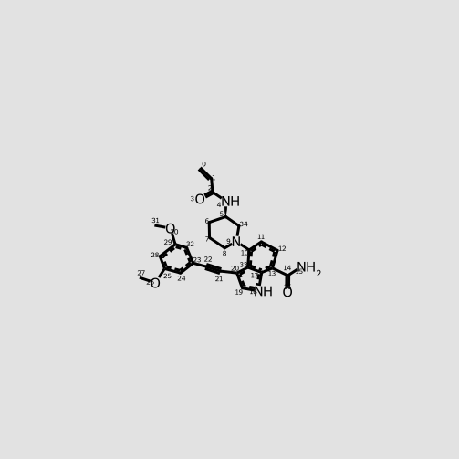 C=CC(=O)N[C@@H]1CCCN(c2ccc(C(N)=O)c3[nH]cc(C#Cc4cc(OC)cc(OC)c4)c23)C1